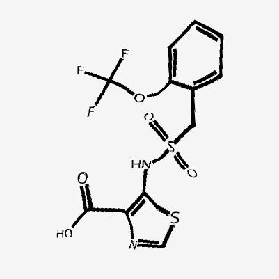 O=C(O)c1ncsc1NS(=O)(=O)Cc1ccccc1OC(F)(F)F